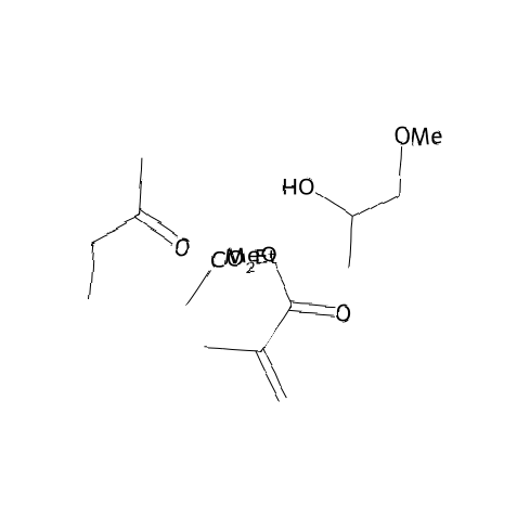 C=C(C)C(=O)OC.CCC(C)=O.CCOC(C)=O.COCC(C)O